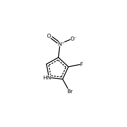 O=[N+]([O-])c1c[nH]c(Br)c1F